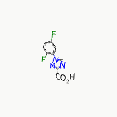 O=C(O)c1ncn(-c2cc(F)ccc2F)n1